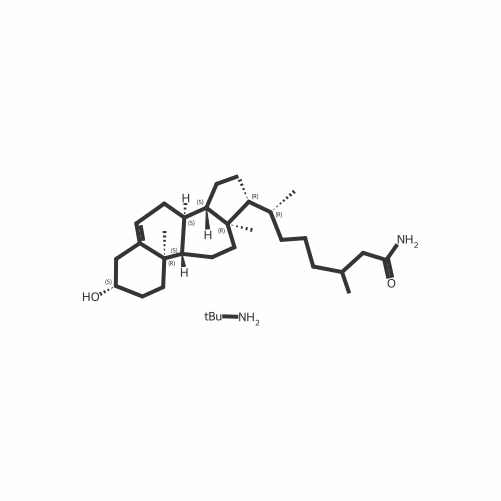 CC(C)(C)N.CC(CCC[C@@H](C)[C@H]1CC[C@H]2[C@@H]3CC=C4C[C@@H](O)CC[C@]4(C)[C@H]3CC[C@]12C)CC(N)=O